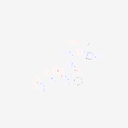 C=C[C@@H](C[C@H](O)[C@H](CC1CCCCC1)NC(=O)[C@H](Cc1c[nH]cn1)NC(=O)[C@@](C)(NC(=O)CN(CCNC(=O)OC(C)(C)C)C(=O)OC(C)(C)C)c1ccccc1)C(C)C